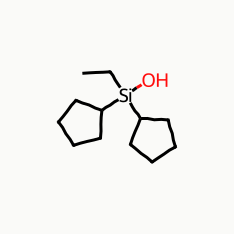 CC[Si](O)(C1CCCC1)C1CCCC1